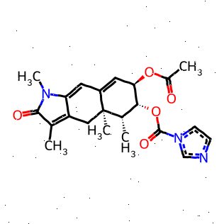 CC(=O)O[C@@H]1C=C2C=C3C(=C(C)C(=O)N3C)C[C@]2(C)[C@@H](C)[C@H]1OC(=O)n1ccnc1